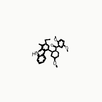 CCc1cc(C2CC(OC)CCC2C(=O)c2cc(OC)ccc2OC)c2c([nH]c3ccccc32)c1C